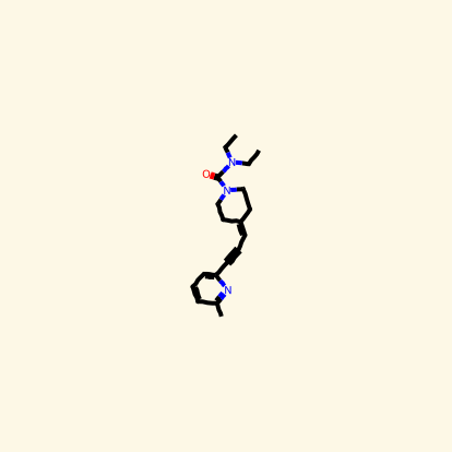 CCN(CC)C(=O)N1CCC(=CC#Cc2cccc(C)n2)CC1